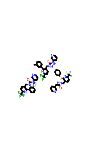 Cc1cccc(-c2nc(C(F)(F)F)ccc2CNC(=O)Nc2cccnc2)c1.O=C(Cc1cccnc1)NCc1ccc(C(F)(F)F)nc1SC1CCCCC1.O=C(NCc1ccc(C(F)(F)F)nc1-c1cccc(Cl)c1)Nc1cccnc1